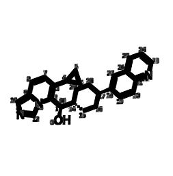 O[C@@H](c1c(C2CC2)ccc2cncn12)[C@H]1CC[C@H](c2ccc3ncccc3c2)CC1